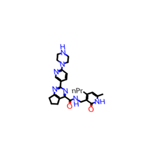 CCCc1cc(C)[nH]c(=O)c1CNC(=O)c1nc(-c2ccc(N3CCNCC3)nc2)nc2c1CCC2